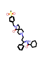 CS(=O)(=O)c1ccc(CN2CCC3(CCN(CCC(NC(=O)C4CCCCC4)c4ccccc4)CC3)C2=O)cc1